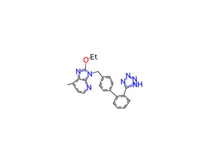 CCOc1nc2c(C)ccnc2n1Cc1ccc(-c2ccccc2-c2nnn[nH]2)cc1